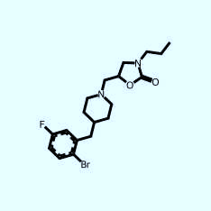 CCCN1CC(CN2CCC(Cc3cc(F)ccc3Br)CC2)OC1=O